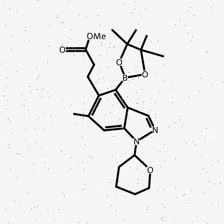 COC(=O)CCc1c(C)cc2c(cnn2C2CCCCO2)c1B1OC(C)(C)C(C)(C)O1